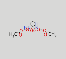 C=CC(=O)OCCONC(=O)C1(C(=O)NOCCOC(=O)C=C)CCCCC1